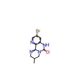 CC1CN=C2c3ncc(Br)cc3NC(=O)N2C1